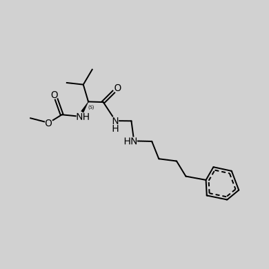 COC(=O)N[C@H](C(=O)NCNCCCCc1ccccc1)C(C)C